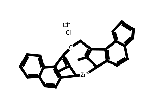 CC1=C2CCC3=C(C)[CH]([Zr+2][CH]1c1ccc4ccccc4c12)c1ccc2ccccc2c13.[Cl-].[Cl-]